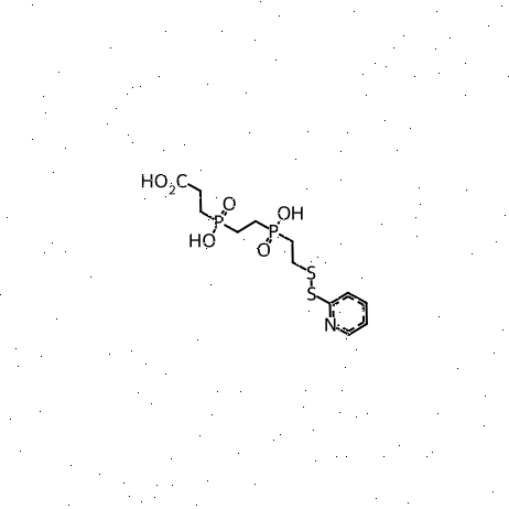 O=C(O)CCP(=O)(O)CCP(=O)(O)CCSSc1ccccn1